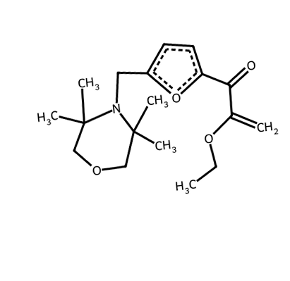 C=C(OCC)C(=O)c1ccc(CN2C(C)(C)COCC2(C)C)o1